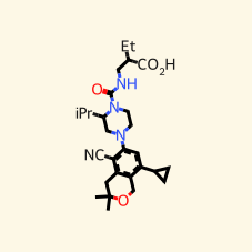 CCC(CNC(=O)N1CCN(c2cc(C3CC3)c3c(c2C#N)CC(C)(C)OC3)CC1C(C)C)C(=O)O